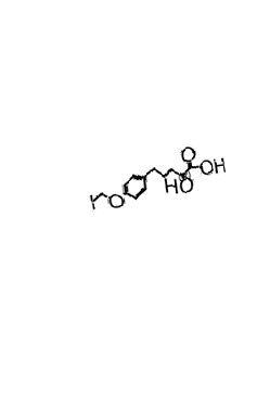 O=C(O)[C@H](O)CCCc1ccc(OCI)cc1